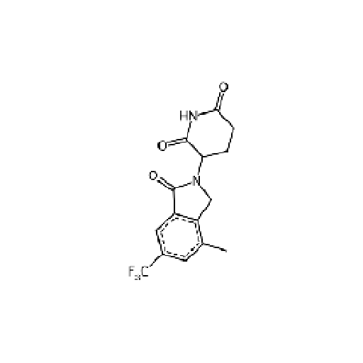 Cc1cc(C(F)(F)F)cc2c1CN(C1CCC(=O)NC1=O)C2=O